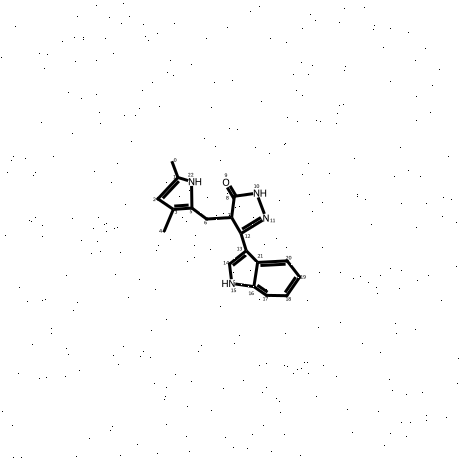 Cc1cc(C)c(CC2C(=O)NN=C2c2c[nH]c3ccccc23)[nH]1